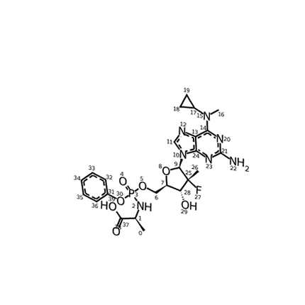 C[C@H](NP(=O)(OC[C@H]1O[C@@H](n2cnc3c(N(C)C4CC4)nc(N)nc32)[C@](C)(F)[C@@H]1O)Oc1ccccc1)C(=O)O